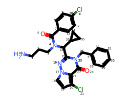 NCCCN(C(=O)c1ccc(Cl)cc1)C(c1nn2ccc(Cl)c2c(=O)n1Cc1ccccc1)C1CC1